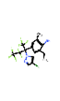 CCc1cc(C(n2cc(Cl)cn2)(C(F)(F)F)C(F)(F)C(F)(F)F)cc(C)c1N